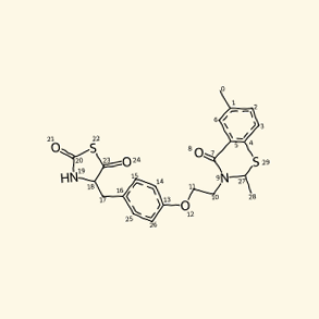 Cc1ccc2c(c1)C(=O)N(CCOc1ccc(CC3NC(=O)SC3=O)cc1)C(C)S2